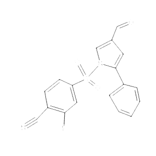 N#Cc1ccc(S(=O)(=O)n2cc(C=O)cc2-c2ccccc2)cc1F